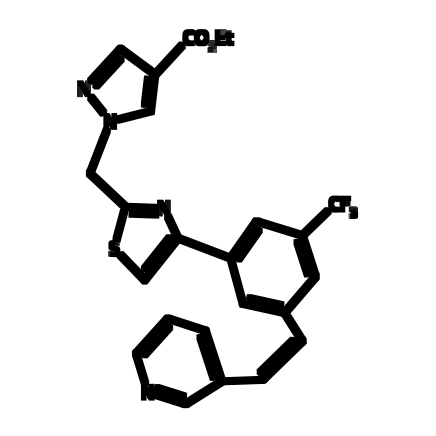 CCOC(=O)c1cnn(Cc2nc(-c3cc(/C=C\c4cccnc4)cc(C(F)(F)F)c3)cs2)c1